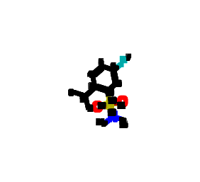 CC(C)c1ccc(F)cc1S(=O)(=O)N(C)C